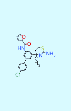 CC1(c2cc(NC(=O)c3ccco3)cc(-c3ccc(Cl)cc3)c2)CCSC(N)=N1